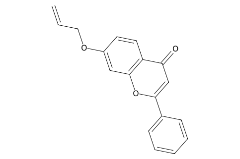 C=CCOc1ccc2c(=O)cc(-c3ccccc3)oc2c1